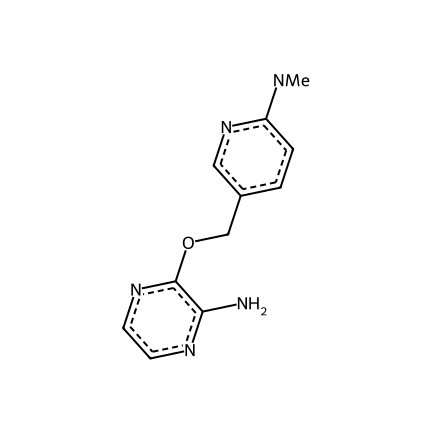 CNc1ccc(COc2nccnc2N)cn1